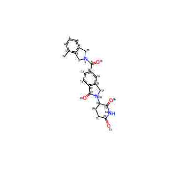 Cc1cccc2c1CN(C(=O)c1ccc3c(c1)CN(C1CCC(=O)NC1=O)C3=O)C2